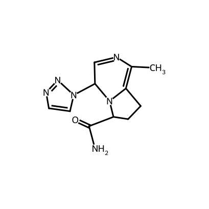 CC1=C2CCC(C(N)=O)N2C(n2ccnn2)C=N1